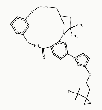 CC1(C)CC2CCCNc3ccnc(c3)SNC(=O)c3ccc(-n4ccc(OCCC5(C(F)(F)F)CC5)n4)nc3N1C2